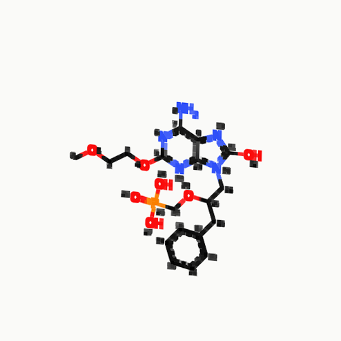 COCCOc1nc(N)c2nc(O)n(CC(Cc3ccccc3)OCP(=O)(O)O)c2n1